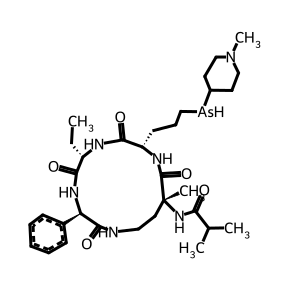 CC[C@@H]1NC(=O)[C@H](CCC[AsH]C2CCN(C)CC2)NC(=O)[C@](C)(NC(=O)C(C)C)CCNC(=O)[C@@H](c2ccccc2)NC1=O